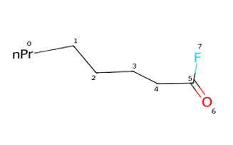 CCCCCCCC(=O)F